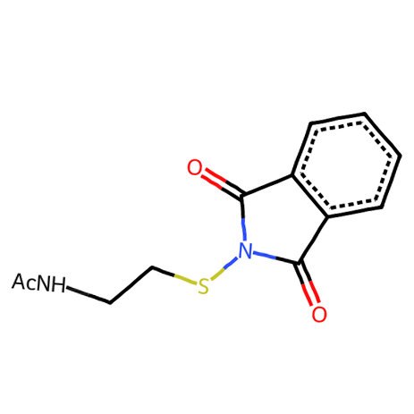 CC(=O)NCCSN1C(=O)c2ccccc2C1=O